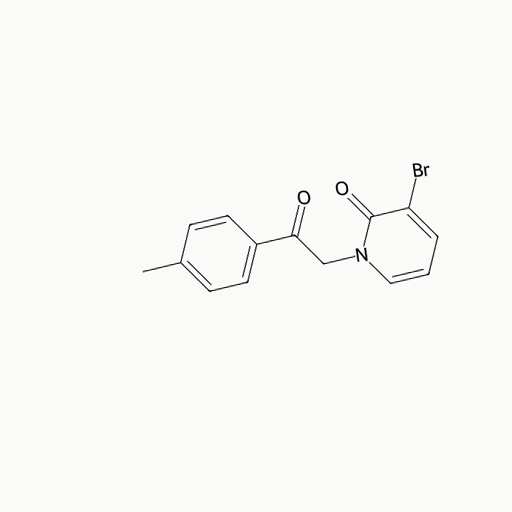 Cc1ccc(C(=O)Cn2cccc(Br)c2=O)cc1